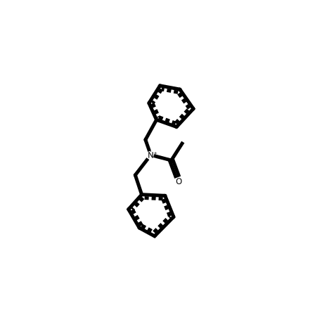 CC(=O)[N+](Cc1ccccc1)Cc1ccccc1